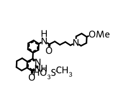 COC1CCN(CCCCC(=O)Nc2cccc(-c3n[nH]c(=O)c4c3CCCC4)c2)CC1.CS(=O)(=O)O